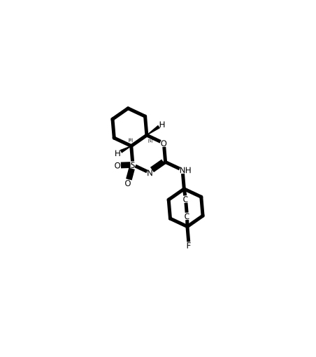 O=S1(=O)N=C(NC23CCC(F)(CC2)CC3)O[C@H]2CCCC[C@H]21